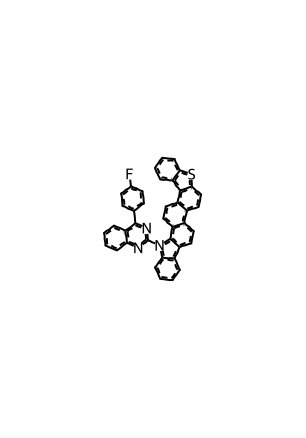 Fc1ccc(-c2nc(-n3c4ccccc4c4ccc5c6ccc7sc8ccccc8c7c6ccc5c43)nc3ccccc23)cc1